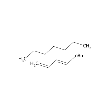 C=CC=CCCCC.CCCCCCC